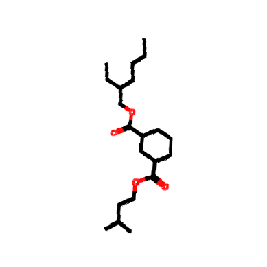 CCCCC(CC)COC(=O)C1CCCC(C(=O)OCCC(C)C)C1